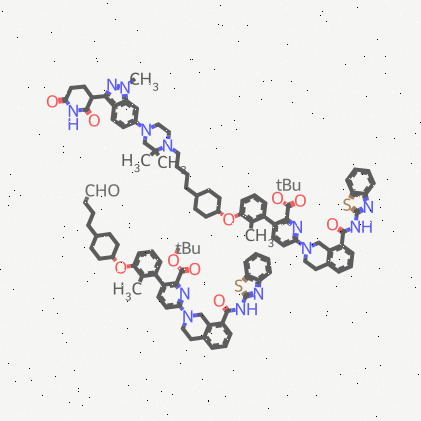 Cc1c(OC2CCC(CCCC=O)CC2)cccc1-c1ccc(N2CCc3cccc(C(=O)Nc4nc5ccccc5s4)c3C2)nc1C(=O)OC(C)(C)C.Cc1c(OC2CCC(CCCCN3CCN(c4ccc5c(C6CCC(=O)NC6=O)nn(C)c5c4)CC3(C)C)CC2)cccc1-c1ccc(N2CCc3cccc(C(=O)Nc4nc5ccccc5s4)c3C2)nc1C(=O)OC(C)(C)C